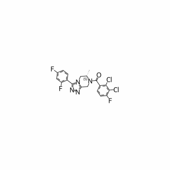 C[C@H]1Cn2c(nnc2-c2ccc(F)cc2F)CN1C(=O)c1ccc(F)c(Cl)c1Cl